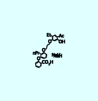 CCCc1c(OCCCOc2cc(O)c(C(C)=O)cc2CC)cccc1Oc1ccccc1C(=O)O.[NaH].[NaH]